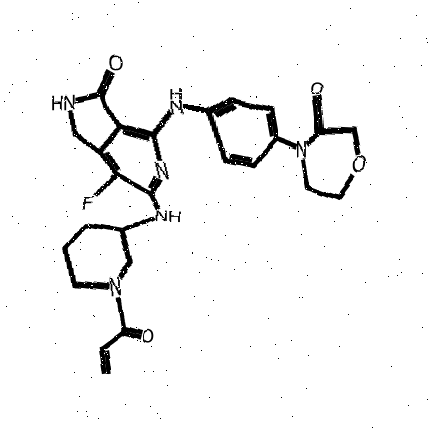 C=CC(=O)N1CCCC(Nc2nc(Nc3ccc(N4CCOCC4=O)cc3)c3c(c2F)CNC3=O)C1